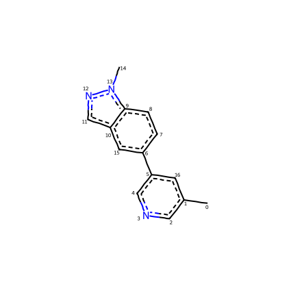 Cc1cncc(-c2ccc3c(cnn3C)c2)c1